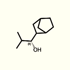 CC(C)[C@@H](O)C1CC2CCC1C2